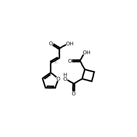 O=C(O)/C=C/c1ccco1.O=C(O)C1CCC1C(=O)O